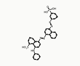 O=P(O)(O)c1cccc(N=Nc2ccc(N=Nc3ccc(Nc4ccccc4)c4c(S(=O)(=O)O)cccc34)c3ccccc23)c1